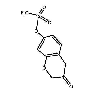 O=C1COc2cc(OS(=O)(=O)C(F)(F)F)ccc2C1